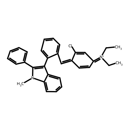 CC[N+](CC)=C1C=CC(=Cc2ccccc2-c2c(-c3ccccc3)n(C)c3ccccc23)C(Cl)=C1